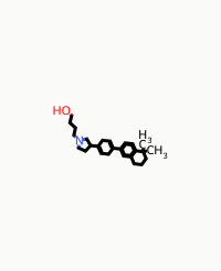 CC1(C)CCCc2cc(C3=CCC(C4CCN(CCCCO)C4)=CC3)ccc21